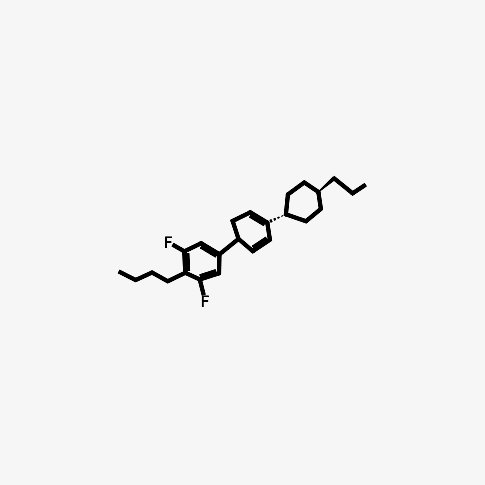 CCCCc1c(F)cc(C2C=CC([C@H]3CC[C@H](CCC)CC3)=CC2)cc1F